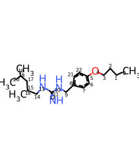 CCCCOc1ccc(CNC(=N)NCC(C)CC(C)C)cc1